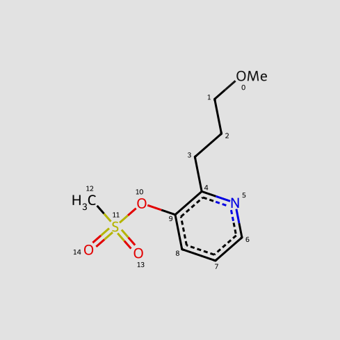 COCCCc1ncccc1OS(C)(=O)=O